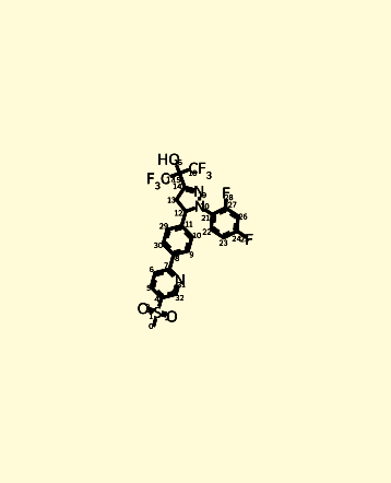 CS(=O)(=O)c1ccc(-c2ccc(C3CC(C(O)(C(F)(F)F)C(F)(F)F)=NN3c3ccc(F)cc3F)cc2)nc1